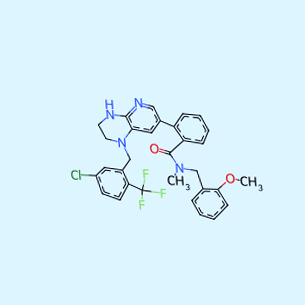 COc1ccccc1CN(C)C(=O)c1ccccc1-c1cnc2c(c1)N(Cc1cc(Cl)ccc1C(F)(F)F)CCN2